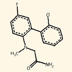 CN(CC(N)=O)c1ccc(F)cc1-c1ccccc1Cl